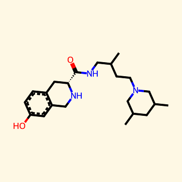 CC(CCN1CC(C)CC(C)C1)CNC(=O)[C@H]1Cc2ccc(O)cc2CN1